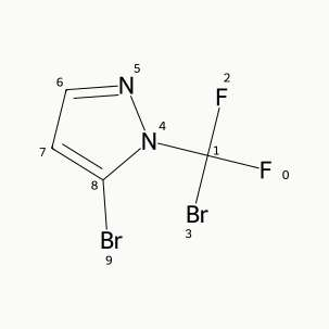 FC(F)(Br)n1nccc1Br